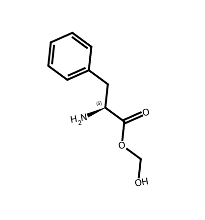 N[C@@H](Cc1ccccc1)C(=O)OCO